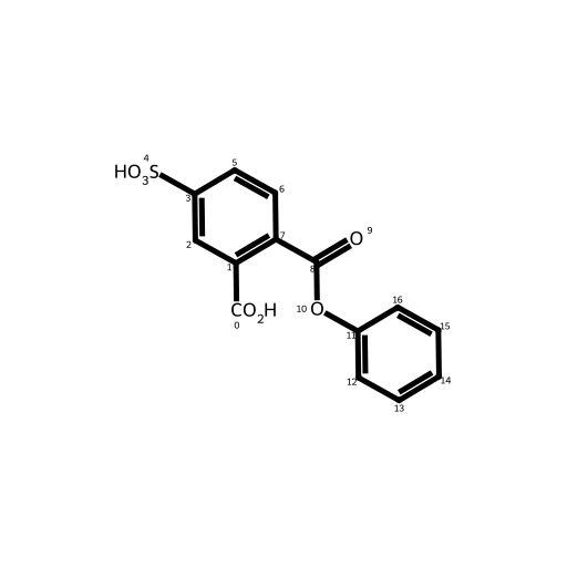 O=C(O)c1cc(S(=O)(=O)O)ccc1C(=O)Oc1ccccc1